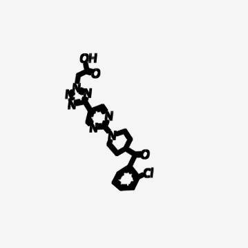 O=C(O)Cn1nnc(-c2cnc(N3CCC(C(=O)c4ccccc4Cl)CC3)nc2)n1